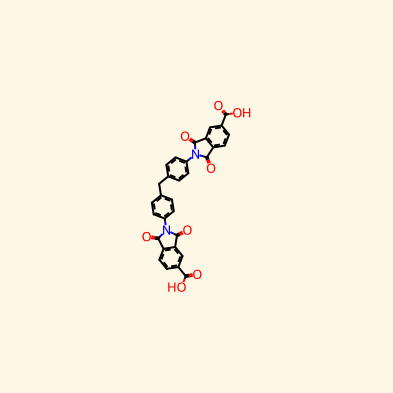 O=C(O)c1ccc2c(c1)C(=O)N(c1ccc(Cc3ccc(N4C(=O)c5ccc(C(=O)O)cc5C4=O)cc3)cc1)C2=O